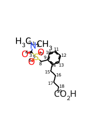 CN(C)C(=O)S(=O)(=O)Cc1ccccc1CCCCC(=O)O